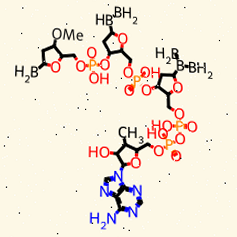 BBC1CC(OP(=O)(O)OCC2OC(B)CC2OC)C(COP(=O)(O)OC2CC(B(B)B)OC2COP(=O)(O)OP(=O)(O)OCC2OC(n3cnc4c(N)ncnc43)C(O)C2C)O1